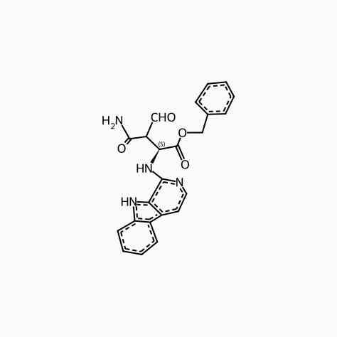 NC(=O)C(C=O)[C@H](Nc1nccc2c1[nH]c1ccccc12)C(=O)OCc1ccccc1